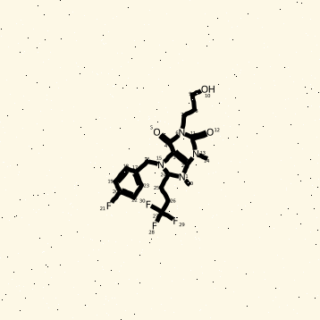 CN1c2c(c(=O)n(CCCO)c(=O)n2C)N(Cc2ccc(F)cc2)C1CCC(F)(F)F